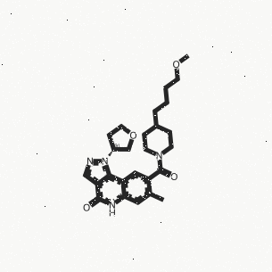 COCCCCC1CCN(C(=O)c2cc3c(cc2C)[nH]c(=O)c2cnn([C@@H]4CCOC4)c23)CC1